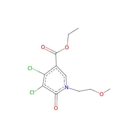 CCOC(=O)c1cn(CCOC)c(=O)c(Cl)c1Cl